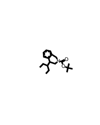 CCC(CC)C1CN(C(=O)OC(C)(C)C)Cc2ccccc21